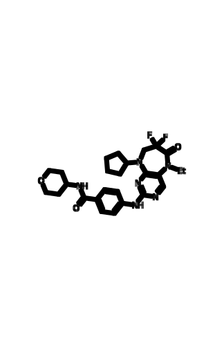 CCN1C(=O)C(F)(F)CN(C2CCCC2)c2nc(Nc3ccc(C(=O)NC4CCOCC4)cc3)ncc21